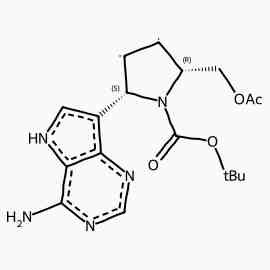 CC(=O)OC[C@H]1[CH][CH][C@@H](c2c[nH]c3c(N)ncnc23)N1C(=O)OC(C)(C)C